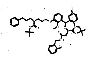 COc1c(OCCCN(CCCc2ccccc2)C(=O)OC(C)(C)C)cccc1C1OC(CC(=O)NCc2ccccc2F)C(=O)N(CC(C)(C)C)c2ccc(Cl)cc21